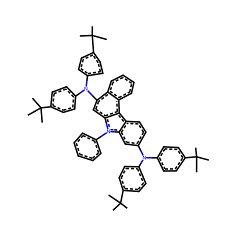 CC(C)(C)c1ccc(N(c2ccc(C(C)(C)C)cc2)c2ccc3c4c5ccccc5c(N(c5ccc(C(C)(C)C)cc5)c5ccc(C(C)(C)C)cc5)cc4n(-c4ccccc4)c3c2)cc1